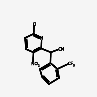 N#CC(c1ccccc1C(F)(F)F)c1nc(Cl)ccc1[N+](=O)[O-]